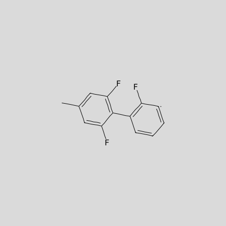 Cc1cc(F)c(-c2ccc[c]c2F)c(F)c1